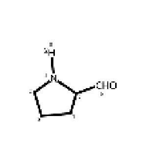 [2H]N1CCCC1C=O